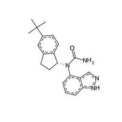 CC(C)(C)c1ccc2c(c1)CC[C@H]2N(C(N)=O)c1cccc2[nH]ncc12